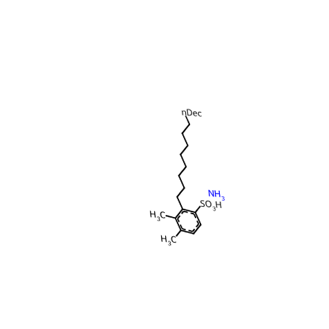 CCCCCCCCCCCCCCCCCCc1c(S(=O)(=O)O)ccc(C)c1C.N